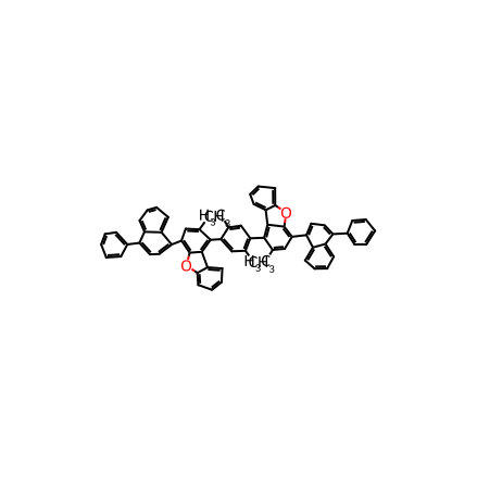 Cc1cc(-c2c(C)cc(-c3ccc(-c4ccccc4)c4ccccc34)c3oc4ccccc4c23)c(C)cc1-c1c(C)cc(-c2ccc(-c3ccccc3)c3ccccc23)c2oc3ccccc3c12